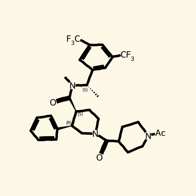 CC(=O)N1CCC(C(=O)N2CC[C@H](C(=O)N(C)[C@@H](C)c3cc(C(F)(F)F)cc(C(F)(F)F)c3)[C@H](c3ccccc3)C2)CC1